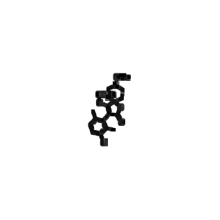 CCOC(=O)OC1=C(c2c(C)ccc(Cl)c2C)C(=O)OC12CCN(OC)CC2